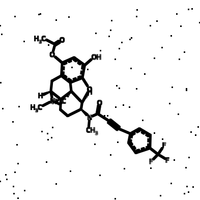 CC(=O)Oc1cc(O)c2c3c1C[C@@H]1[C@@H]4CC[C@H](N(C)C(=O)C#Cc5ccc(C(F)(F)F)cc5)[C@H](O2)[C@]34CCN1C